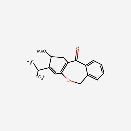 COC1CC2=C(C=C1C(C)C(=O)O)OCc1ccccc1C2=O